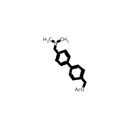 CC(=O)OCc1ccc(-c2ccc(CN(C)C)cc2)cc1